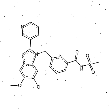 COc1cc2cc(-c3cccnc3)n(Cc3cccc(C(=O)NS(C)(=O)=O)n3)c2cc1Cl